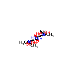 CC(O)CN(CCCC[C@@H]1NC(=O)[C@@H](CCCCN(CC(C)O)CC(C)O)NC1=O)CC(C)O